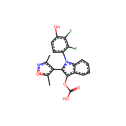 Cc1noc(C)c1-c1c(OC(=O)O)c2ccccc2n1-c1ccc(O)c(F)c1F